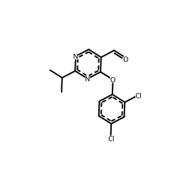 CC(C)c1ncc(C=O)c(Oc2ccc(Cl)cc2Cl)n1